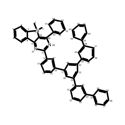 C[Si]1(C)c2ccccc2-c2nc(-c3cccc(-c4cc(-c5cccc(-c6ccccc6)c5)cc(-c5cccc(-c6ccccc6)c5)c4)c3)nc(-c3ccccc3)c21